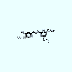 CCc1cc(CCSc2nc(N)cc(SC)n2)ncc1OC